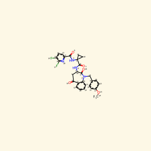 O=C(NC1(C(=O)N[C@@H]2CC(=O)c3ccccc3N(Cc3ccc(OC(F)(F)F)cc3)C2=O)CC1)c1ccc(F)c(F)n1